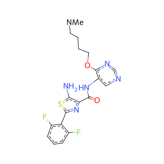 CNCCCCOc1ncncc1NC(=O)c1nc(-c2c(F)cccc2F)sc1N